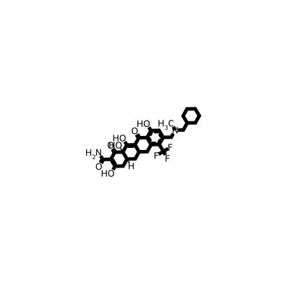 CN(Cc1cc(O)c2c(c1C(F)(F)F)CC1C[C@H]3CC(O)=C(C(N)=O)C(=O)[C@@]3(O)C(O)=C1C2=O)CC1CCCCC1